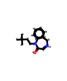 CC(C)(C)CCN1C(=O)C=NCc2ccccc21